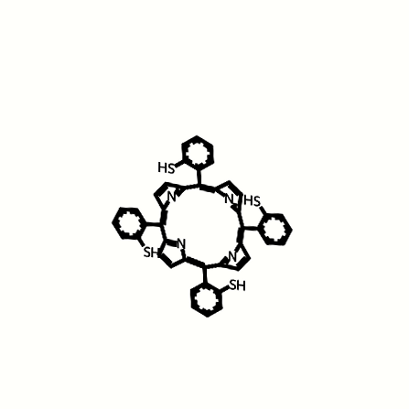 Sc1ccccc1C1=C2C=CC(=N2)C(c2ccccc2S)=C2C=CC(=N2)C(c2ccccc2S)=C2C=CC(=N2)C(c2ccccc2S)=C2C=CC1=N2